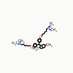 CCN(CC)CCCCCCOc1ccc(C(=C2C(C)CC3CC(C)CC2C3)c2ccc(OCCCCCCN(CC)CC)cc2)cc1